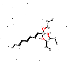 CCC=CC=CC=C[Si](OCCC)(OCCC)OCCC